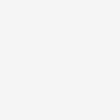 CC(C)(C)C(=O)OC1CC23CC=CCCC12C3